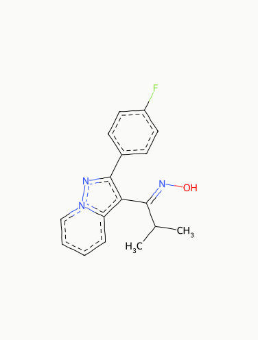 CC(C)C(=NO)c1c(-c2ccc(F)cc2)nn2ccccc12